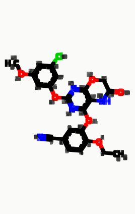 CCOc1ccc(C#N)cc1Oc1nc(Oc2cc(Cl)cc(OC)c2)nc2c1NC(=O)CO2